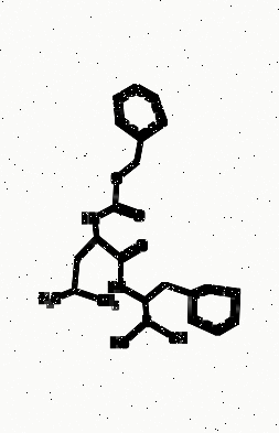 CC(C)CC(NC(=O)OCc1ccccc1)C(=O)NC(Cc1ccccc1)B(O)O